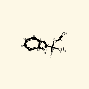 CC(I)(OC=O)c1cc2ccccc2[nH]1